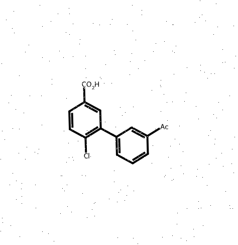 CC(=O)c1cccc(-c2cc(C(=O)O)ccc2Cl)c1